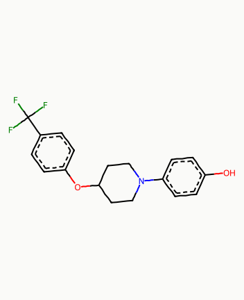 Oc1ccc(N2CCC(Oc3ccc(C(F)(F)F)cc3)CC2)cc1